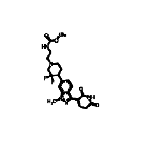 Cn1nc(C2CCC(=O)NC2=O)c2ccc(C3CCN(CCNC(=O)OC(C)(C)C)CC3(F)F)cc21